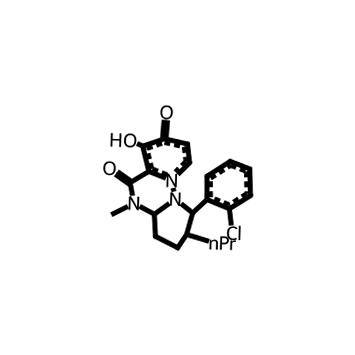 CCCC1CCC2N(C)C(=O)c3c(O)c(=O)ccn3N2C1c1ccccc1Cl